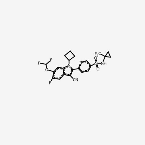 N#Cc1c(-c2ccc(S(=O)(=O)NC3(C(F)(F)F)CC3)cn2)n(C2CCC2)c2cc(OC(F)F)c(F)cc12